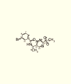 CC(NC(=O)c1cccc(Br)c1)c1cnc(S(C)(=O)=O)nn1